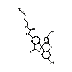 [N-]=[N+]=NCCNC(=S)Nc1ccc2c(c1)C(=O)OC21c2ccc(O)cc2Oc2cc(O)ccc21